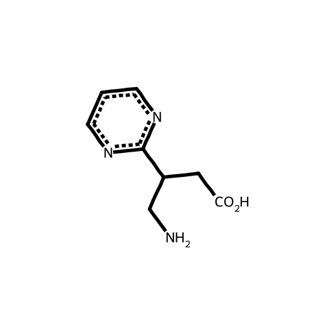 NCC(CC(=O)O)c1ncccn1